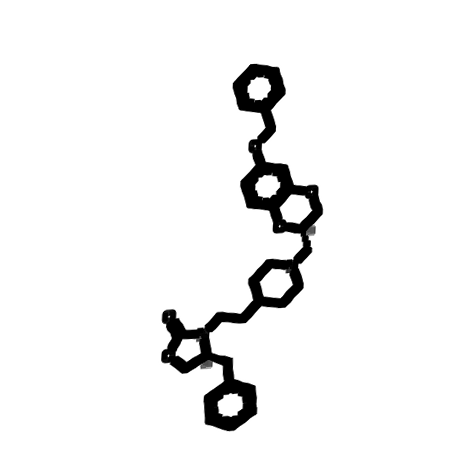 O=C1OC[C@H](Cc2ccccc2)N1CCC1CCN(C[C@H]2COc3cc(OCc4ccccc4)ccc3O2)CC1